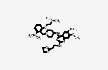 COc1cc2nc(NCCC3=NCCS3)nc(NC3CCN(Cc4c(OCCN(C)C)cccc4N(C)C)CC3)c2cc1OC